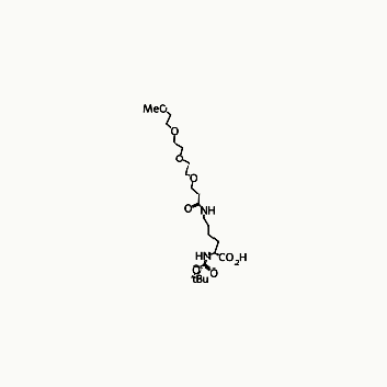 COCCOCCOCCOCCC(=O)NCCCC[C@H](NC(=O)OC(C)(C)C)C(=O)O